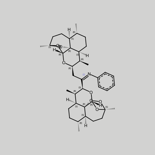 C[C@H]1[C@@H](/C(C[C@H]2O[C@@H]3O[C@]4(C)CC[C@H]5[C@H](C)CC[C@@H]([C@H]2C)[C@@]35OO4)=N\c2ccccc2)O[C@@H]2O[C@]3(C)CC[C@H]4[C@H](C)CC[C@@H]1[C@@]24OO3